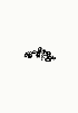 CC1(C)c2c(-c3ccc(-c4c5ccccc5c(-c5cccc(-c6cccc7c6oc6ccccc67)c5)c5ccccc45)cc3)cccc2-c2c1c1ccccc1c1ccccc21